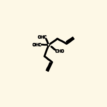 C=C[CH2][Cr]([CH]=O)([CH]=O)([CH]=O)[CH2]C=C